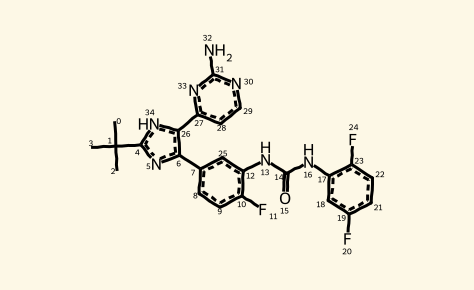 CC(C)(C)c1nc(-c2ccc(F)c(NC(=O)Nc3cc(F)ccc3F)c2)c(-c2ccnc(N)n2)[nH]1